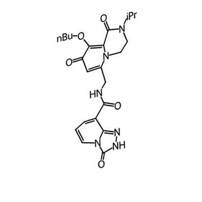 CCCCOc1c2n(c(CNC(=O)c3cccn4c(=O)[nH]nc34)cc1=O)CCN(C(C)C)C2=O